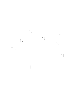 Cn1ccnc1SN(C1=c2cc(O)ccc2=NCN1F)c1ccccc1